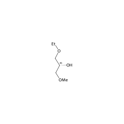 CCOC[C@H](O)COC